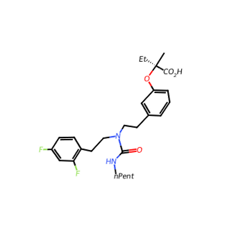 CCCCCNC(=O)N(CCc1cccc(O[C@](C)(CC)C(=O)O)c1)CCc1ccc(F)cc1F